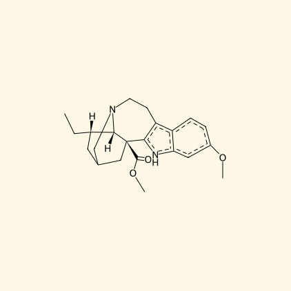 CC[C@H]1CC2CN3CCc4c([nH]c5cc(OC)ccc45)[C@](C(=O)OC)(C2)[C@H]13